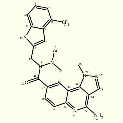 CC(=O)N(C)N(Cc1cc2c(C(F)(F)F)cccc2s1)C(=O)c1ccc2nc(N)c3cnn(C)c3c2c1